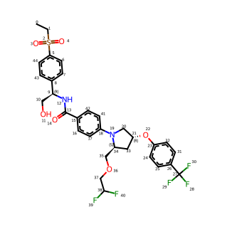 CCS(=O)(=O)c1ccc([C@H](CO)NC(=O)c2ccc(N3C[C@H](Oc4ccc(C(F)(F)F)cc4)C[C@H]3COCC(F)F)cc2)cc1